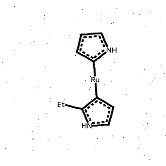 CCc1[nH]cc[c]1[Ru][c]1ccc[nH]1